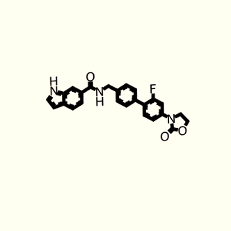 O=C(NCc1ccc(-c2ccc(N3CCOC3=O)cc2F)cc1)c1ccc2cc[nH]c2c1